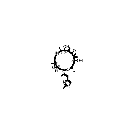 CC(=Cc1csc(C)n1)[C@@H]1C[C@@H]2O[C@]2(C)CCN[C@@H](C)[C@@H](O)C(C)C(=O)C(C)(C)[C@@H](O)CC(=O)O1